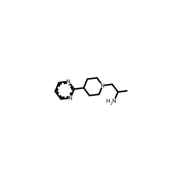 CC(N)CN1CCC(c2ncccn2)CC1